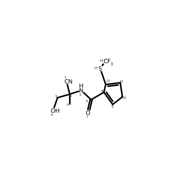 CC(C#N)(CO)NC(=O)C1=CCC=C1SC(F)(F)F